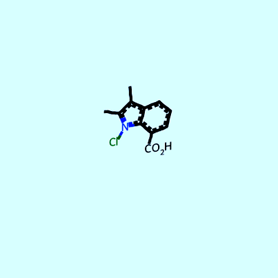 Cc1c(C)n(Cl)c2c(C(=O)O)cccc12